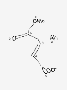 COC(=O)/C=C/C(=O)[O-].[Al+]